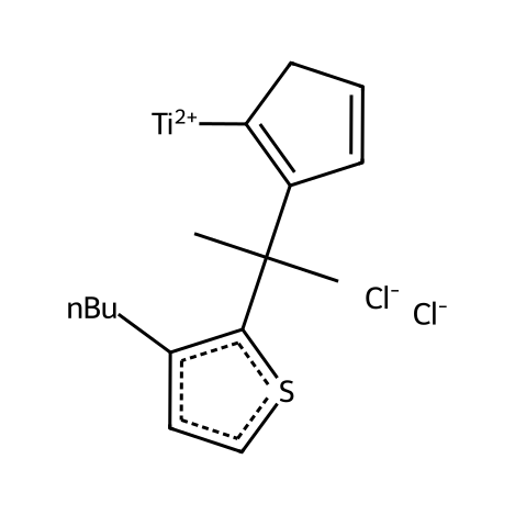 CCCCc1ccsc1C(C)(C)C1=[C]([Ti+2])CC=C1.[Cl-].[Cl-]